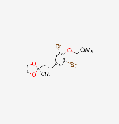 COCOc1c(Br)cc(CCC2(C)OCCO2)cc1Br